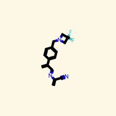 C=C(C#N)/N=C/C(=C)c1ccc(CN2CC(F)(F)C2)cc1